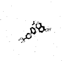 COC(OC)C1CCN(c2ccc([C@H]3c4ccc(O)cc4CO[C@H]3C(C)C)cc2)CC1